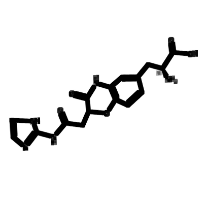 N[C@@H](Cc1ccc2c(c1)NC(=O)C(CC(=O)Nc1ncc[nH]1)O2)C(=O)O